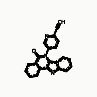 C#Cc1ccc(-n2c(=O)c3ccccc3c3nc4ccccn4c32)cn1